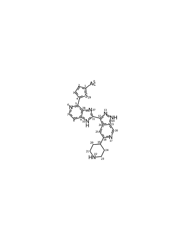 CC(=O)c1ccc(-c2nccc3[nH]c(-c4n[nH]c5cnc(C6CCNCC6)cc45)nc23)s1